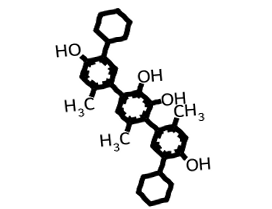 Cc1cc(O)c(C2CCCCC2)cc1-c1cc(C)c(-c2cc(C3CCCCC3)c(O)cc2C)c(O)c1O